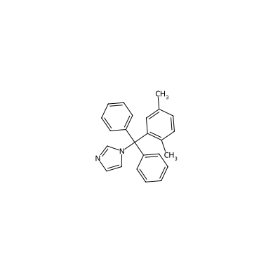 Cc1ccc(C)c(C(c2ccccc2)(c2ccccc2)n2ccnc2)c1